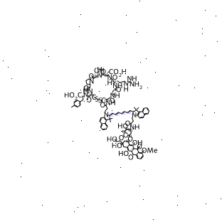 COc1cccc2c1C(=O)c1c(O)c3c(c(O)c1C2=O)C[C@@](O)(C(=O)CO)C[C@@H]3O[C@H]1C[C@H](NC(=O)CC[N+]2=C(/C=C/C=C/C=C/C=C3/N(CCC(=O)N[C@@H]4CSSC[C@@H](C(=O)NC(Cc5ccc(C)cc5)C(=O)O)NC(=O)C5CCCN5C(=O)[C@H](CO)NC(=O)[C@H](CC(=O)O)NC(=O)[C@H](CCCNC(=N)N)NC(=O)CNC4=O)c4ccc5ccccc5c4C3(C)C)C(C)(C)c3c2ccc2ccccc32)[C@H](O)[C@H](C)O1